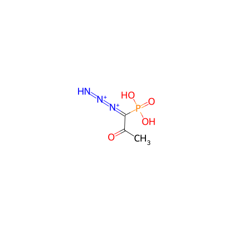 CC(=O)C(=[N+]=[N+]=N)P(=O)(O)O